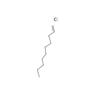 C=CCCCCCCCC.[C]